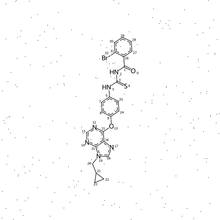 O=C(NC(=S)Nc1ccc(Oc2ncnc3c2ncn3CC2CC2)cc1)c1ccccc1Br